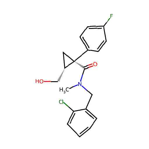 CN(Cc1ccccc1Cl)C(=O)[C@@]1(c2ccc(F)cc2)C[C@H]1CO